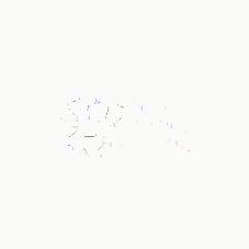 O[C@H]1CCN(C2CCN(Cc3cc(Nc4ncc(Cl)c(-c5c[nH]c6ccccc56)n4)cc(C4CC4)c3)CC2)C1